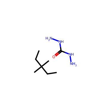 CCC(C)(C)CC.NNC(=O)NN